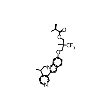 C=C(C)C(=O)OCC(C)(COc1ccc2cc3n(c2c1)CC(C)c1ccncc1-3)C(F)(F)F